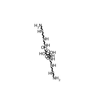 NCCCNCCCCNCCCNC(=O)OCC1OC(O)C(NC(=O)NCCCNCCCCNCCN)C(O)C1O